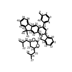 Cc1cccc(C2=CC3c4ccccc4[C@H](C4OC(CC(C)C)CC(CC(C)C)O4)N3c3cc4c(cc32)-c2ccccc2C4(C)C)c1